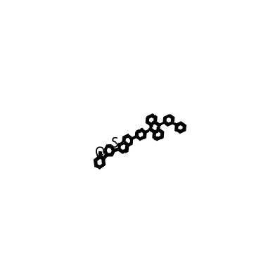 c1ccc(-c2cccc(-c3c4ccccc4c(-c4ccc(-c5ccc6c(ccc7c8cc9c(cc8sc67)oc6ccccc69)c5)cc4)c4ccccc34)c2)cc1